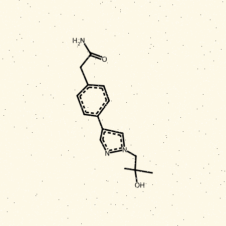 CC(C)(O)Cn1cc(-c2ccc(CC(N)=O)cc2)cn1